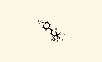 CN1CCN(CCN(C)C(C)(C)C)CC1